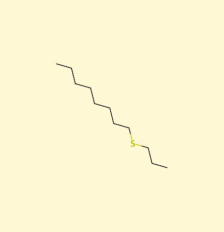 CCCCCCCCSCCC